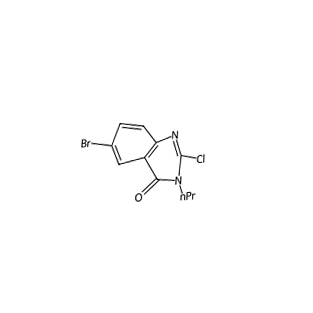 CCCn1c(Cl)nc2ccc(Br)cc2c1=O